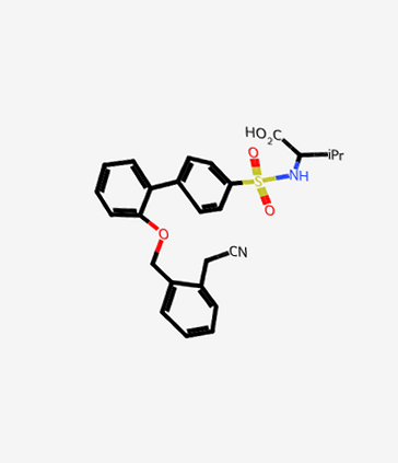 CC(C)C(NS(=O)(=O)c1ccc(-c2ccccc2OCc2ccccc2CC#N)cc1)C(=O)O